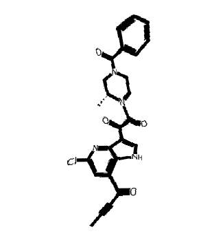 CC#CC(=O)c1cc(Cl)nc2c(C(=O)C(=O)N3CCN(C(=O)c4ccccc4)C[C@H]3C)c[nH]c12